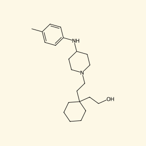 Cc1ccc(NC2CCN(CCC3(CCO)CCCCC3)CC2)cc1